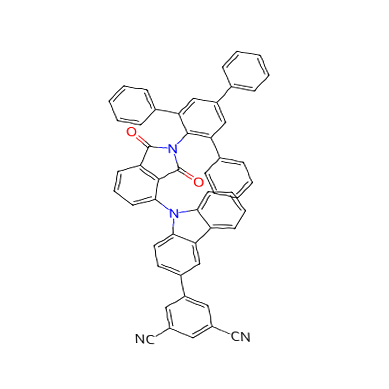 N#Cc1cc(C#N)cc(-c2ccc3c(c2)c2ccccc2n3-c2cccc3c2C(=O)N(c2c(-c4ccccc4)cc(-c4ccccc4)cc2-c2ccccc2)C3=O)c1